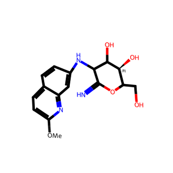 COc1ccc2ccc(NC3C(=N)OC(CO)[C@H](O)C3O)cc2n1